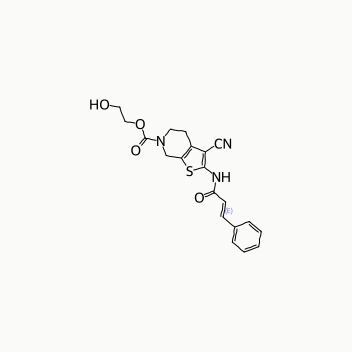 N#Cc1c(NC(=O)/C=C/c2ccccc2)sc2c1CCN(C(=O)OCCO)C2